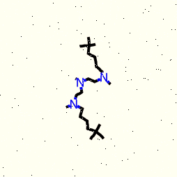 CN(CCCCC(C)(C)C)CCN(C)CCN(C)CCCCC(C)(C)C